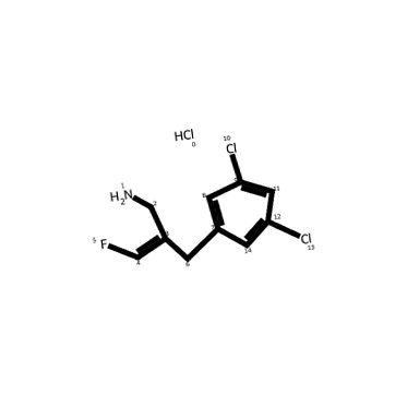 Cl.NC/C(=C\F)Cc1cc(Cl)cc(Cl)c1